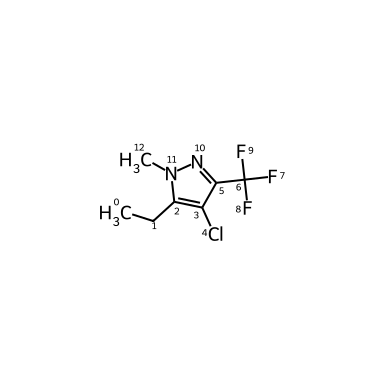 CCc1c(Cl)c(C(F)(F)F)nn1C